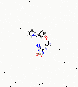 NC1=NS(=O)(=O)N=C1NC/C=C\COc1cccc(CN2CCCCC2)c1